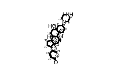 C[C@]12CCC(N3CCNCC3)C[C@@]1(O)CC[C@@H]1[C@@H]2CC[C@]2(C)[C@@H](c3ccc(=O)oc3)CC[C@]12O